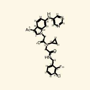 CC(=O)c1cn(CC(=O)N(CC(=O)NCc2cccc(Cl)c2F)C2CC2)c2cc(Nc3cncnc3)ccc12